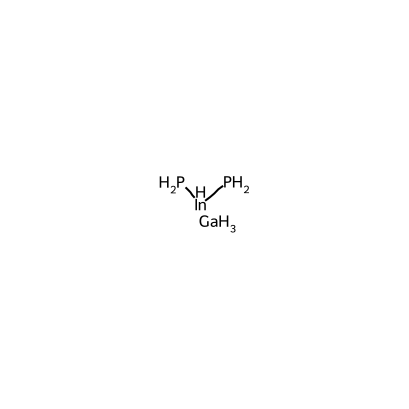 [GaH3].[PH2][InH][PH2]